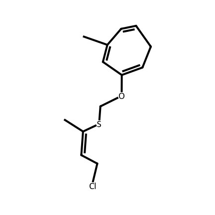 CC1=CC(OCS/C(C)=C\CCl)=CCC=C1